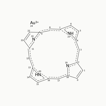 C1=Cc2cc3ccc(cc4nc(cc5ccc(cc1n2)[nH]5)C=C4)[nH]3.[Au+3]